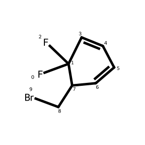 FC1(F)C=CC=CC1CBr